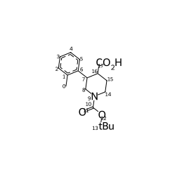 Cc1ccccc1C1CN(C(=O)OC(C)(C)C)CCC1C(=O)O